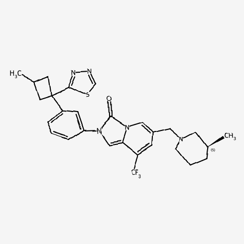 CC1CC(c2cccc(-n3cc4c(C(F)(F)F)cc(CN5CCC[C@H](C)C5)cn4c3=O)c2)(c2nncs2)C1